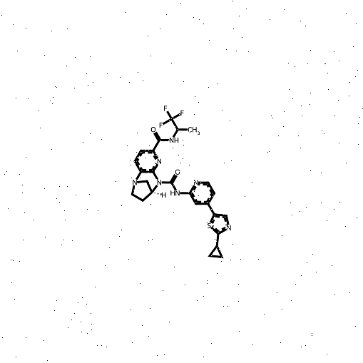 CC(NC(=O)c1ccc2c(n1)N(C(=O)Nc1cc(-c3cnc(C4CC4)s3)ccn1)[C@H]1CCN2C1)C(F)(F)F